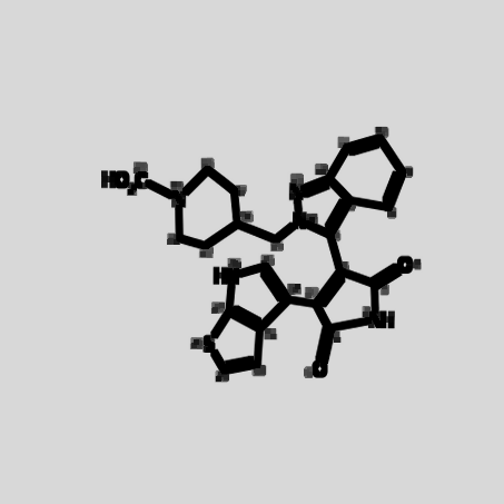 O=C1NC(=O)C(c2c3ccccc3nn2CC2CCN(C(=O)O)CC2)=C1c1c[nH]c2sccc12